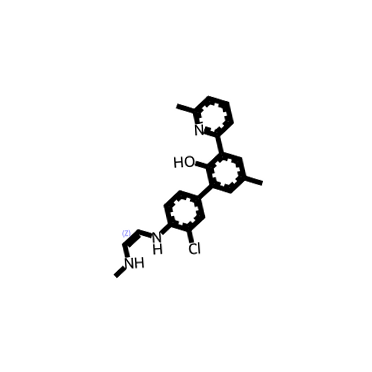 CN/C=C\Nc1ccc(-c2cc(C)cc(-c3cccc(C)n3)c2O)cc1Cl